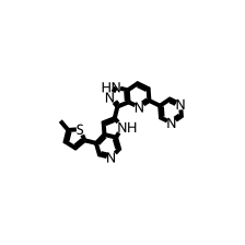 Cc1ccc(-c2cncc3[nH]c(-c4n[nH]c5ccc(-c6cncnc6)nc45)cc23)s1